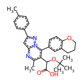 Cc1ccc(-c2cc3nc(C)c(C(OC(C)(C)C)C(=O)O)c(-c4ccc5c(c4)CCCO5)n3n2)cc1